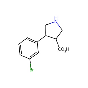 O=C(O)C1CNCC1c1cccc(Br)c1